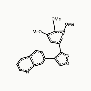 COc1cc(-c2nocc2-c2ccc3cccnc3c2)cc(OC)c1OC